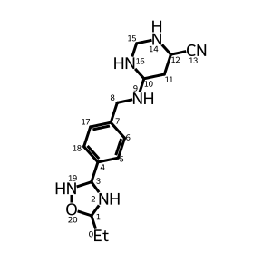 CCC1NC(c2ccc(CNC3CC(C#N)NCN3)cc2)NO1